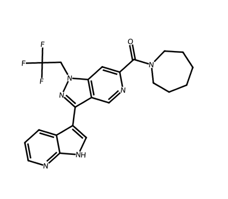 O=C(c1cc2c(cn1)c(-c1c[nH]c3ncccc13)nn2CC(F)(F)F)N1CCCCCC1